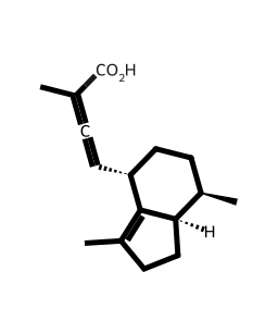 CC(=C=C[C@@H]1CC[C@@H](C)[C@H]2CCC(C)=C12)C(=O)O